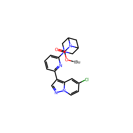 CC(C)(C)OC(=O)N1C2CC1CN(c1cccc(-c3cnn4ccc(Cl)cc34)n1)C2